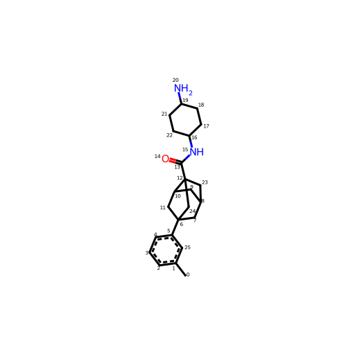 Cc1cccc(C23CC4CC(C2)C(C(=O)NC2CCC(N)CC2)(C4)C3)c1